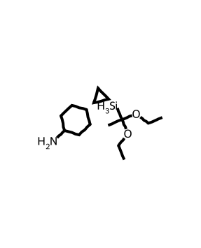 C1CC1.CCOC(C)([SiH3])OCC.NC1CCCCC1